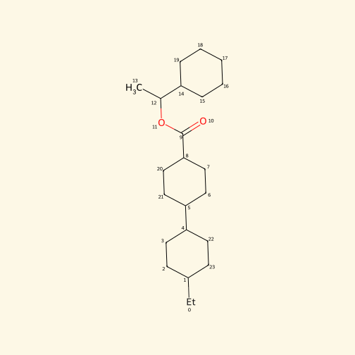 CCC1CCC(C2CCC(C(=O)OC(C)C3CCCCC3)CC2)CC1